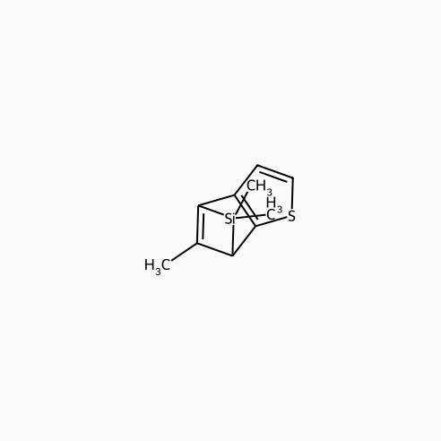 CC1=C2c3ccsc3C1[Si]2(C)C